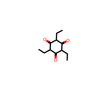 CCC1C(=O)C(CC)C(=O)C(CC)C1=O